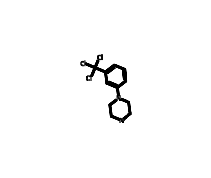 ClC(Cl)(Cl)c1cccc(N2CC[N]CC2)c1